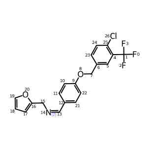 FC(F)(F)c1cc(COc2ccc(/C=N\Cc3ccco3)cc2)ccc1Cl